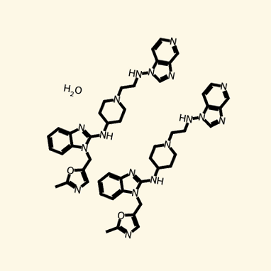 Cc1ncc(Cn2c(NC3CCN(CCNn4cnc5cnccc54)CC3)nc3ccccc32)o1.Cc1ncc(Cn2c(NC3CCN(CCNn4cnc5cnccc54)CC3)nc3ccccc32)o1.O